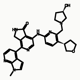 Cn1ccc2c(-c3ncc(Nc4ccc([C@@H]5CCOC5)c(CN5CC[C@H](O)C5)n4)c4c3CNC4=O)ccnc21